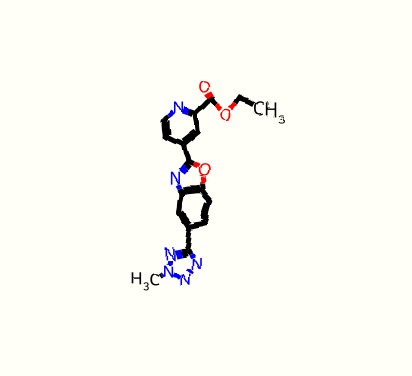 CCOC(=O)c1cc(-c2nc3cc(-c4nnn(C)n4)ccc3o2)ccn1